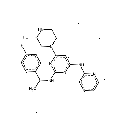 CC(Nc1nc(Nc2cnccn2)cc(N2CCN[C@@H](O)C2)n1)c1ccc(F)cc1